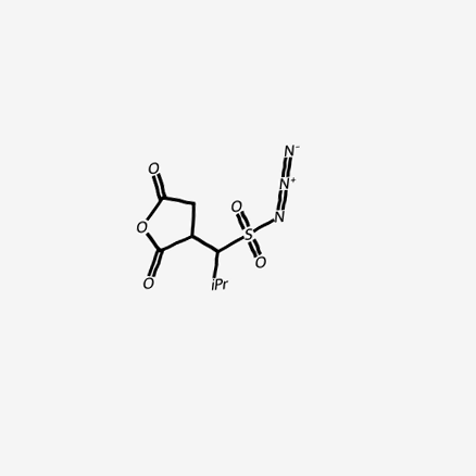 CC(C)C(C1CC(=O)OC1=O)S(=O)(=O)N=[N+]=[N-]